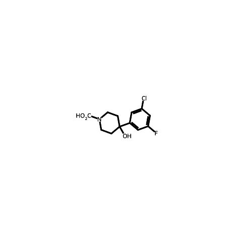 O=C(O)N1CCC(O)(c2cc(F)cc(Cl)c2)CC1